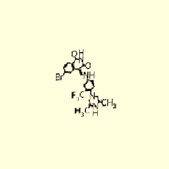 C[C@@H]1CN(c2ccc(NC=C3C(=O)NC(=O)c4ccc(Br)cc43)cc2C(F)(F)F)C[C@H](C)N1